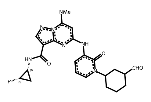 CNc1cc(Nc2cccn(C3CCCC(C=O)C3)c2=O)nc2c(C(=O)N[C@@H]3C[C@@H]3F)cnn12